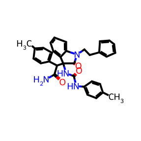 Cc1ccc(NC(=O)NC2(C(C(N)=O)c3ccc(C)cc3)C(=O)N(CCc3ccccc3)c3ccccc32)cc1